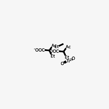 CCC.CCC(C(C)=O)C(=O)[O-].CCC(C(C)=O)C(=O)[O-].[O]=[Ti+2]=[O]